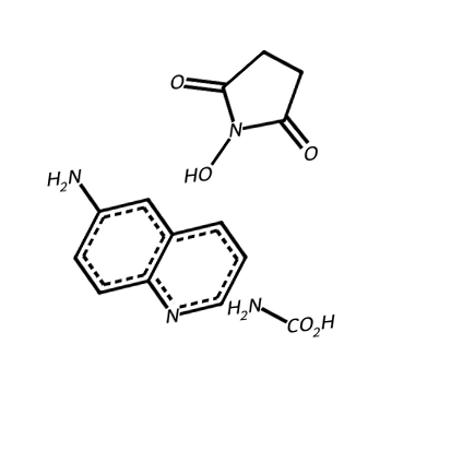 NC(=O)O.Nc1ccc2ncccc2c1.O=C1CCC(=O)N1O